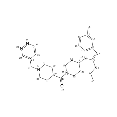 CCSc1nc2cc(C)ccc2n1C1CCN(C(=O)C2CCN(Cc3ccnnc3)CC2)CC1